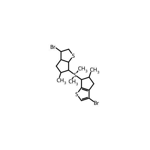 CC1Cc2c(Br)csc2C1S(C)(C)C1C(C)CC2C(Br)CSC21